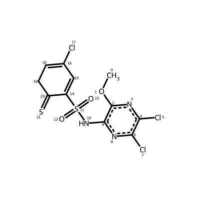 COc1nc(Cl)c(Cl)nc1NS(=O)(=O)C1=CC(Cl)=CCC1=S